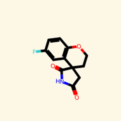 O=C1CC2(CCOc3ccc(F)cc32)C(=O)N1